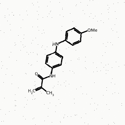 C=C(C)C(=O)Nc1ccc(Nc2ccc(OC)cc2)cc1